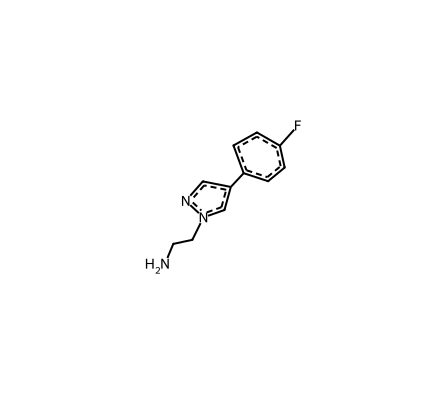 NCCn1cc(-c2ccc(F)cc2)cn1